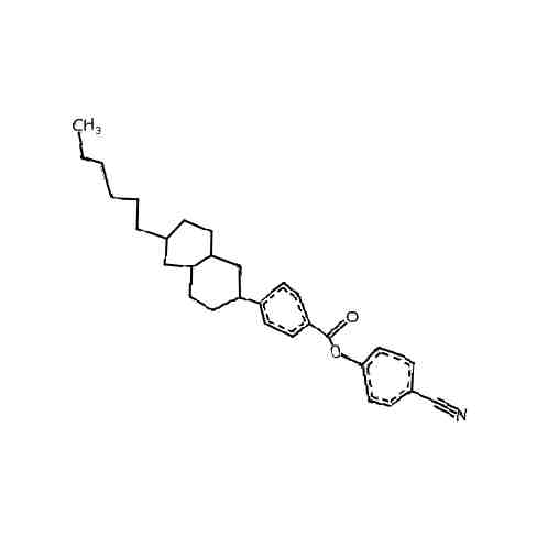 CCCCCCC1CCC2CC(c3ccc(C(=O)Oc4ccc(C#N)cc4)cc3)CCC2C1